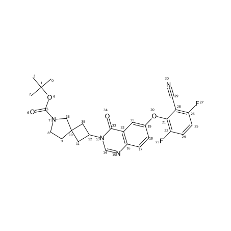 CC(C)(C)OC(=O)N1CCC2(CC(n3cnc4ccc(Oc5c(F)ccc(F)c5C#N)cc4c3=O)C2)C1